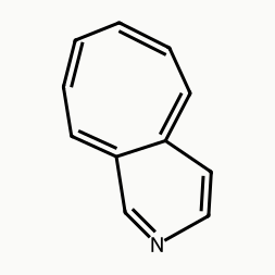 C1=C\C=c2\ccnc\c2=C\C=C/1